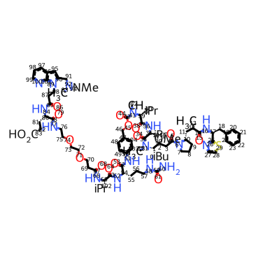 CC[C@H](C)[C@@H]([C@@H](CC(=O)N1CCC[C@H]1C[C@@H](C)C(=O)N[C@@H](Cc1ccccc1)c1nccs1)OC)N(C)C(=O)[C@@H](NC(=O)[C@H](C(C)C)N(C)C(=O)OCc1ccc(NC(=O)[C@H](CCCNC(N)=O)NC(=O)[C@@H](NC(=O)CCOCCOCCNC(=O)[C@H](CCC(=O)O)NC(=O)CCn2c(CN(C)NC)cc3cccnc32)C(C)C)cc1)C(C)C